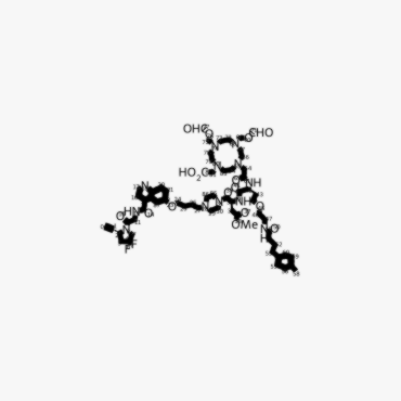 C#C[C@H]1CC(F)(F)CN1C(=O)CNC(=O)c1ccnc2ccc(OCCCCN3CCN(C(=O)[C@H](CC(=O)OC)NC(=O)[C@H](CCOCCNC(=O)CCCc4ccc(C)cc4)NC(=O)CN4CCN(COC=O)CCN(COC=O)CCN(CC(=O)O)CC4)CC3)cc12